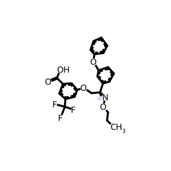 CCCO/N=C(\COc1cc(C(=O)O)cc(C(F)(F)F)c1)c1cccc(Oc2ccccc2)c1